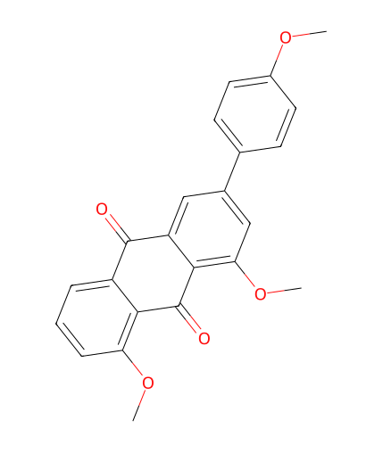 COc1ccc(-c2cc(OC)c3c(c2)C(=O)c2cccc(OC)c2C3=O)cc1